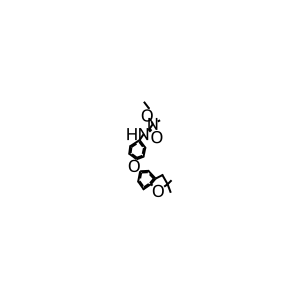 CCON(C)C(=O)Nc1ccc(Oc2ccc3c(c2)CC(C)(C)O3)cc1